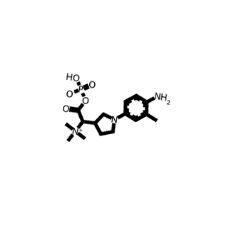 Cc1cc(N2CCC(C(C(=O)OP(=O)([O-])O)[N+](C)(C)C)C2)ccc1N